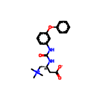 C[N+](C)(C)C[C@@H](CC(=O)[O-])NC(=O)Nc1cccc(Oc2ccccc2)c1